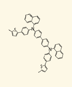 Cc1ccc(-c2ccc(N(c3ccc(-c4ccc(N(c5ccc(-c6ccc(C)s6)cc5)c5cccc6ccccc56)cc4)cc3)c3cccc4ccccc34)cc2)s1